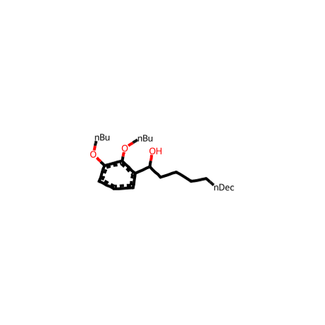 CCCCCCCCCCCCCCC(O)c1cccc(OCCCC)c1OCCCC